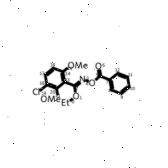 CCOC(=NOC(=O)c1ccccc1)c1c(OC)ccc(Cl)c1OC